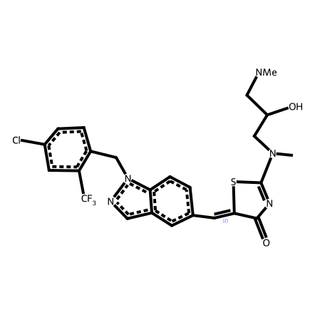 CNCC(O)CN(C)C1=NC(=O)/C(=C/c2ccc3c(cnn3Cc3ccc(Cl)cc3C(F)(F)F)c2)S1